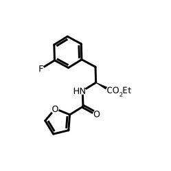 CCOC(=O)[C@H](Cc1cccc(F)c1)NC(=O)c1ccco1